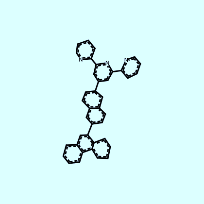 c1ccc(-c2cc(-c3ccc4cc(-c5cc6ccccc6c6ccccc56)ccc4c3)cc(-c3ccccn3)n2)nc1